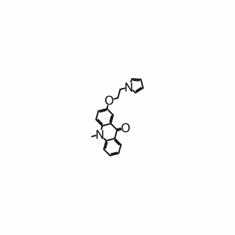 Cn1c2ccccc2c(=O)c2cc(OCCn3cccc3)ccc21